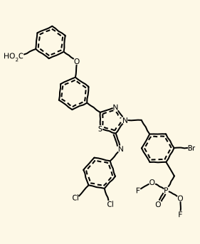 O=C(O)c1cccc(Oc2cccc(-c3nn(Cc4ccc(CP(=O)(OF)OF)c(Br)c4)c(=Nc4ccc(Cl)c(Cl)c4)s3)c2)c1